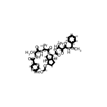 CCCC(NC(=O)[C@@H]1[C@H]2CC[C@@H](OCOC)[C@H]2CN1C(=O)[C@@H](NC(=O)[C@@H](C)NC(=O)c1cnccn1)C(C)C)C(=O)C(=O)N[C@H](C)c1ccccc1